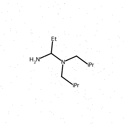 CCC(N)N(CC(C)C)CC(C)C